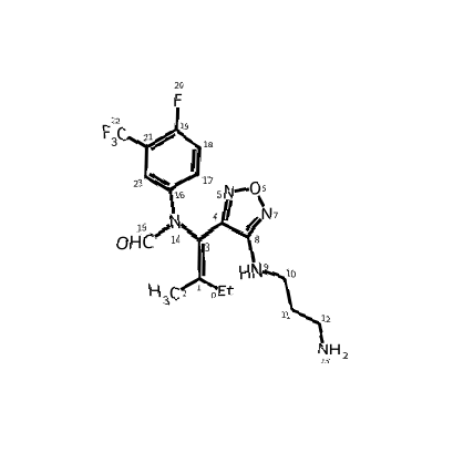 CC/C(C)=C(\c1nonc1NCCCN)N(C=O)c1ccc(F)c(C(F)(F)F)c1